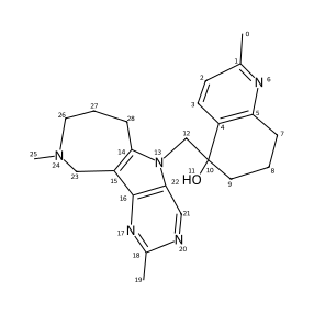 Cc1ccc2c(n1)CCCC2(O)Cn1c2c(c3nc(C)ncc31)CN(C)CCC2